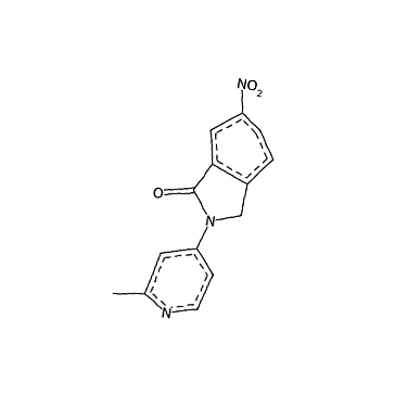 Cc1cc(N2Cc3ccc([N+](=O)[O-])cc3C2=O)ccn1